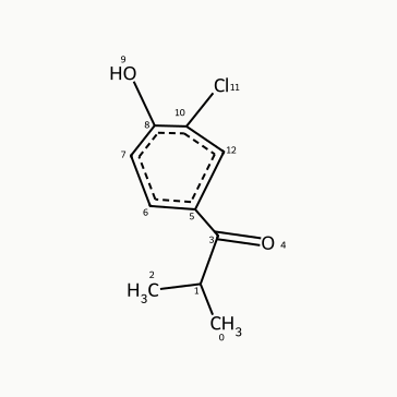 CC(C)C(=O)c1ccc(O)c(Cl)c1